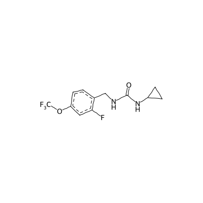 O=C(NCc1ccc(OC(F)(F)F)cc1F)NC1CC1